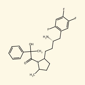 CC1CCC(CC[C@H](N)Cc2cc(F)c(F)cc2F)N1C(=O)C(C)(O)c1ccccc1